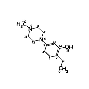 CCc1ccc(N2CCN(C)CC2)cc1O